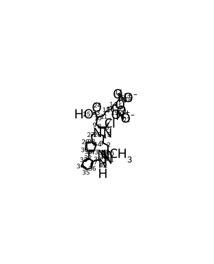 CCCCc1nc(Cl)c(CC(CC[C@H](CO[N+](=O)[O-])O[N+](=O)[O-])C(=O)O)n1Cc1ccc(-c2ccccc2-c2nnn[nH]2)cc1